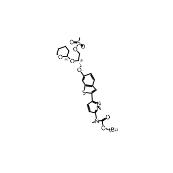 CN(C(=O)OC(C)(C)C)c1ccc(-c2cc3ccc(OC[C@@H](COS(C)(=O)=O)O[C@@H]4CCCCO4)cc3s2)nn1